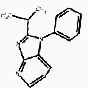 CC(C)c1nc2ncccc2n1-c1cc[c]cc1